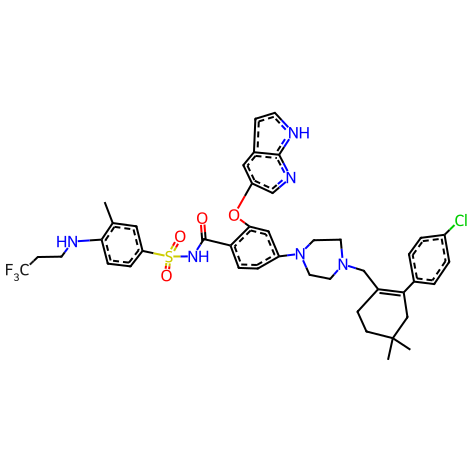 Cc1cc(S(=O)(=O)NC(=O)c2ccc(N3CCN(CC4=C(c5ccc(Cl)cc5)CC(C)(C)CC4)CC3)cc2Oc2cnc3[nH]ccc3c2)ccc1NCCC(F)(F)F